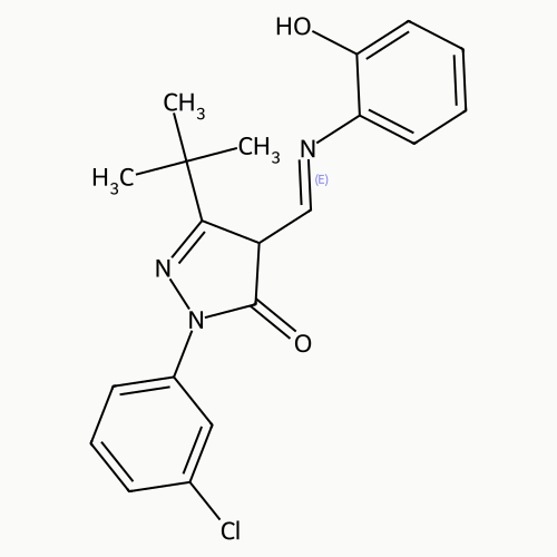 CC(C)(C)C1=NN(c2cccc(Cl)c2)C(=O)C1/C=N/c1ccccc1O